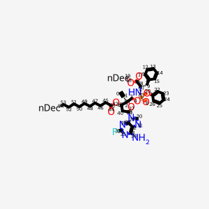 C#C[C@]1(CO[P@@](=O)(N[C@@H](Cc2ccccc2)C(=O)OCCCCCCCCCC)Oc2ccccc2)O[C@@H](n2cnc3c(N)nc(F)nc32)C[C@@H]1OC(=O)CCCCCCCCCCCCCCCCCCC